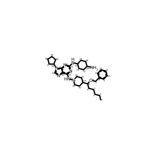 CCCCCC(OCc1ccccc1)C1CCN(Nc2nc(NC3CCC(N)CC3)nc3c2ncn3C2CCCC2)CC1